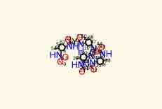 COC(=O)Nc1cc(N[C](=O)[Y][C](=O)Nc2cc(N=C=Nc3ccc(C)c(N[C](=O)[Y][C](=O)Nc4ccc(C)c(NC(=O)OC)c4)c3)ccc2C)ccc1C